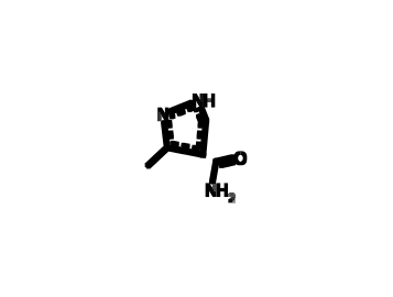 Cc1cc[nH]n1.NC=O